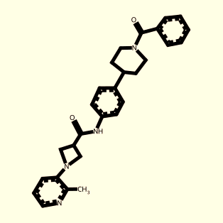 Cc1ncccc1N1CC(C(=O)Nc2ccc(C3CCN(C(=O)c4ccccc4)CC3)cc2)C1